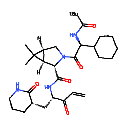 C=CC(=O)[C@H](C[C@@H]1CCCNC1=O)NC(=O)[C@@H]1[C@@H]2[C@H](CN1C(=O)[C@@H](NC(=O)C(C)(C)C)C1CCCCC1)C2(C)C